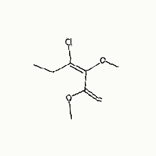 C=C(OC)/C(OC)=C(/Cl)CC